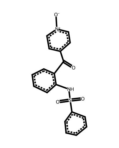 O=C(c1cc[n+]([O-])cc1)c1ccccc1NS(=O)(=O)c1ccccc1